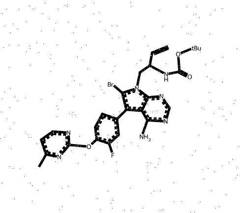 C=CC(Cn1c(Br)c(-c2ccc(Oc3nccc(C)n3)c(F)c2)c2c(N)ncnc21)NC(=O)OC(C)(C)C